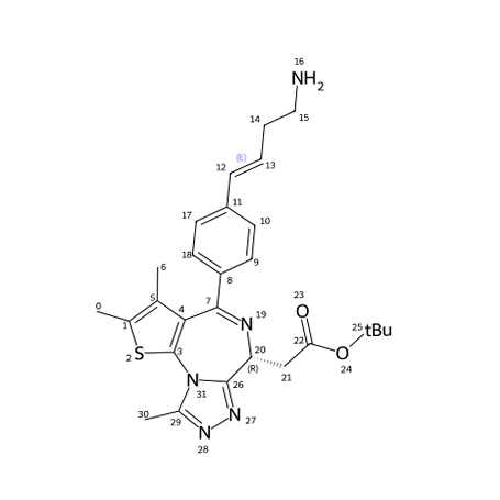 Cc1sc2c(c1C)C(c1ccc(/C=C/CCN)cc1)=N[C@H](CC(=O)OC(C)(C)C)c1nnc(C)n1-2